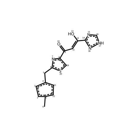 Cc1ccc(Cc2nc(C(=O)C=C(O)c3nc[nH]n3)cs2)cc1